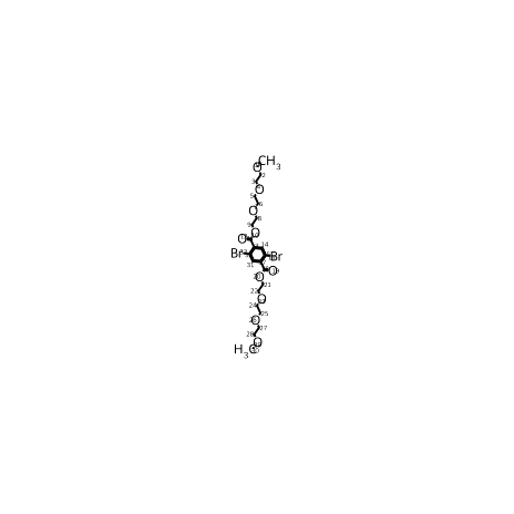 COCCOCCOCCOC(=O)c1cc(Br)c(C(=O)OCCOCCOCCOC)cc1Br